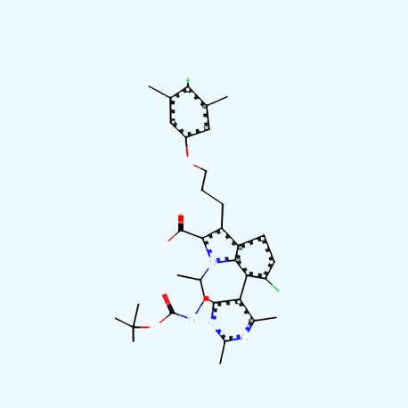 Cc1nc(C)c(-c2c(Cl)ccc3c(CCCOc4cc(C)c(Cl)c(C)c4)c(C(=O)O)n(C(C)CNC(=O)OC(C)(C)C)c23)c(C)n1